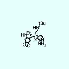 CCNc1cc2c(cc1Sc1nc3c(N)nccc3n1CCNCC(C)(C)C)OCO2